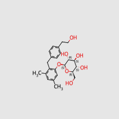 Cc1cc(C)c(Cc2ccc(CCO)cc2)c(O[C@@H]2O[C@H](CO)[C@@H](O)[C@H](O)[C@H]2O)c1